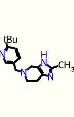 Cc1nc2c([nH]1)CN(Cc1ccc(C(C)(C)C)nc1)CC2